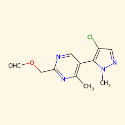 Cc1nc(COC=O)ncc1-c1c(Cl)cnn1C